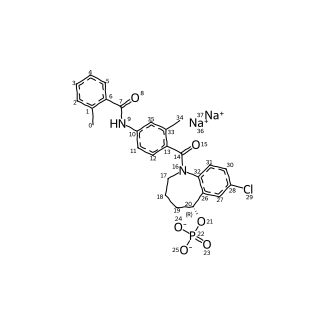 Cc1ccccc1C(=O)Nc1ccc(C(=O)N2CCC[C@@H](OP(=O)([O-])[O-])c3cc(Cl)ccc32)c(C)c1.[Na+].[Na+]